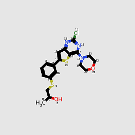 CC(O)CSc1cccc(-c2cc3nc(Cl)nc(N4CCOCC4)c3s2)c1